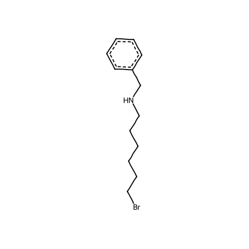 BrCCCCCCNCc1ccccc1